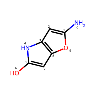 Nc1cc2[nH]c(O)cc2o1